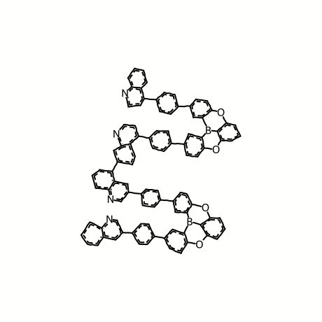 c1cc2c3c(c1)Oc1ccc(-c4ccc(-c5cnc6cccc(-c7ccc8c(-c9ccc(-c%10ccc%11c(c%10)B%10c%12cc(-c%13ccc(-c%14ccnc%15ccccc%14%15)cc%13)ccc%12Oc%12cccc(c%12%10)O%11)cc9)ccnc8c7)c6c5)cc4)cc1B3c1cc(-c3ccc(-c4cnc5ccccc5c4)cc3)ccc1O2